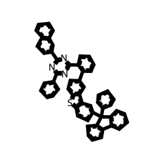 c1ccc(-c2nc(-c3ccc4ccccc4c3)nc(-c3ccccc3-c3ccc4sc5ccc(C6(c7ccccc7)c7ccccc7-c7ccccc76)cc5c4c3)n2)cc1